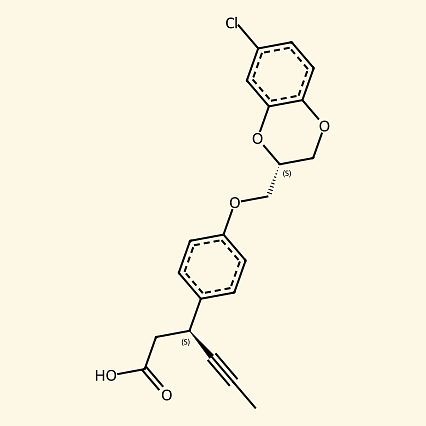 CC#C[C@@H](CC(=O)O)c1ccc(OC[C@H]2COc3ccc(Cl)cc3O2)cc1